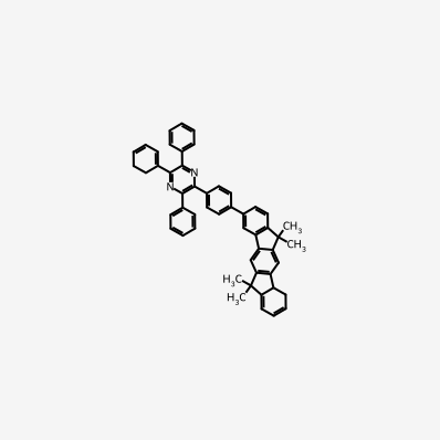 CC1(C)C2=CC=CCC2c2cc3c(cc21)-c1cc(-c2ccc(-c4nc(-c5ccccc5)c(C5=CC=CCC5)nc4-c4ccccc4)cc2)ccc1C3(C)C